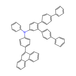 c1ccc(-c2ccc(-c3ccc(N(c4ccccc4)c4ccc(-c5cc6ccccc6c6ccccc56)cc4)cc3-c3ccc(-c4ccccc4)cc3)cc2)cc1